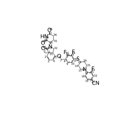 CC12C=CC=C(OCc3ccc(SC4CCN(c5ccc(C#N)cc5F)CC4)c(F)c3F)C1CN([C@@H]1CCC(=O)NC1=O)C2=O